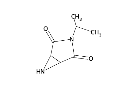 CC(C)N1C(=O)C2NC2C1=O